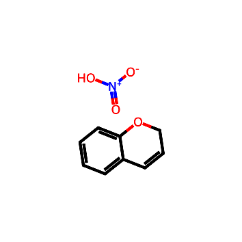 C1=Cc2ccccc2OC1.O=[N+]([O-])O